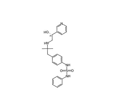 CC(C)(Cc1ccc(NS(=O)(=O)Nc2ccccc2)cc1)NC[C@H](O)c1cccnc1